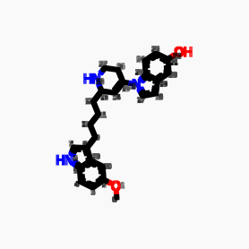 COc1ccc2[nH]cc(CCCCC3C=C(n4ccc5cc(O)ccc54)CCN3)c2c1